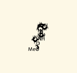 COCCOc1cccnc1Nc1cnc2c(n1)n1n2-c2ccnc3ccc(cc23)C1